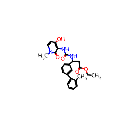 CCOC(=O)CC(NC(=O)Nc1c(O)ccn(C)c1=O)c1cccc(-c2ccccc2C)c1